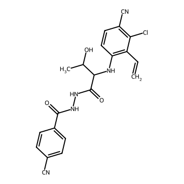 C=Cc1c(NC(C(=O)NNC(=O)c2ccc(C#N)cc2)C(C)O)ccc(C#N)c1Cl